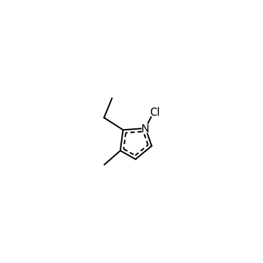 CCc1c(C)ccn1Cl